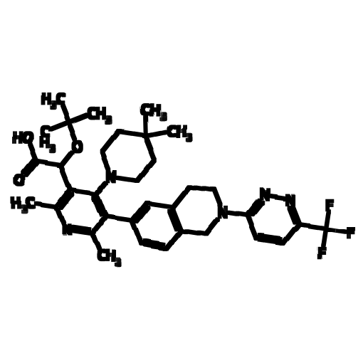 Cc1nc(C)c(C(OC(C)(C)C)C(=O)O)c(N2CCC(C)(C)CC2)c1-c1ccc2c(c1)CCN(c1ccc(C(F)(F)F)nn1)C2